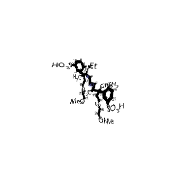 C=C(/C=C/C=C1/N(CC)c2ccc(S(=O)(=O)O)cc2C1(C)CCOCCOC)C(C)(CCOCCOC)c1cc(S(=O)(=O)O)ccc1C